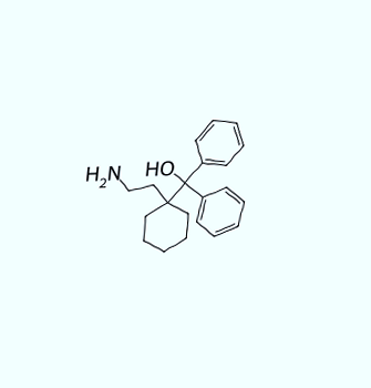 NCCC1(C(O)(c2ccccc2)c2ccccc2)CCCCC1